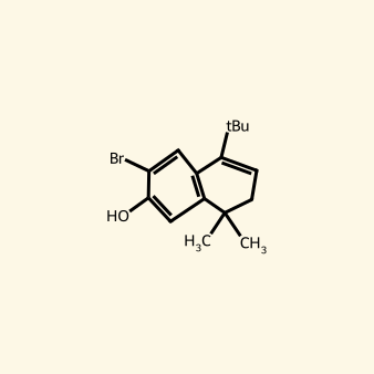 CC(C)(C)C1=CCC(C)(C)c2cc(O)c(Br)cc21